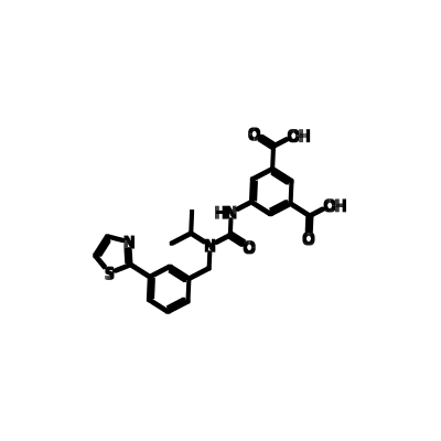 CC(C)N(Cc1cccc(-c2nccs2)c1)C(=O)Nc1cc(C(=O)O)cc(C(=O)O)c1